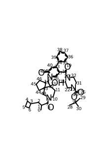 CC(CC1CCC1)C(=O)N1CCC(O)(Cn2cc(C(=O)N3CCN(C(=O)OC(C)(C)C)CC3)c(-c3ccccc3)cc2=O)C2(CCCC2)C1